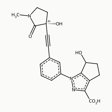 CN1CC[C@@](O)(C#Cc2cccc(-n3nc(C(=O)O)c4c3C(O)CC4)c2)C1=O